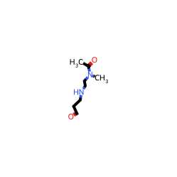 CC(=O)N(C)CCNCCC=O